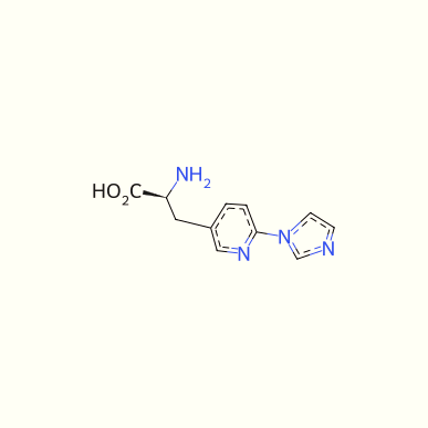 N[C@@H](Cc1ccc(-n2ccnc2)nc1)C(=O)O